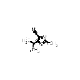 Cc1nc(C#N)c(C(C)C)s1